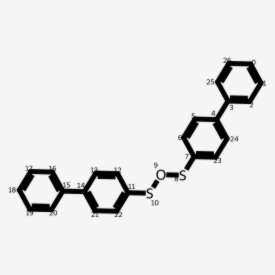 c1ccc(-c2ccc(SOSc3ccc(-c4ccccc4)cc3)cc2)cc1